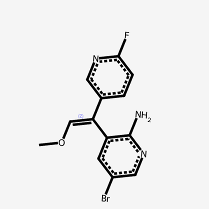 CO/C=C(/c1ccc(F)nc1)c1cc(Br)cnc1N